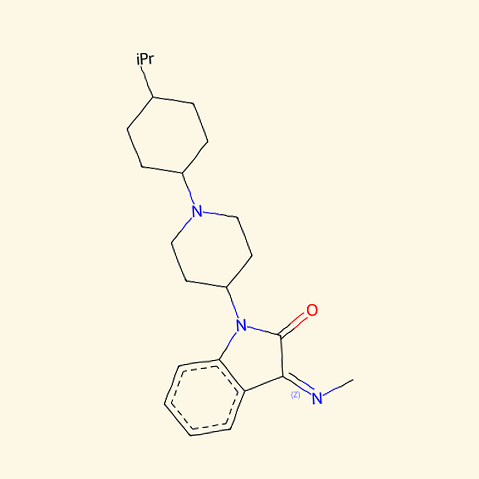 C/N=C1\C(=O)N(C2CCN(C3CCC(C(C)C)CC3)CC2)c2ccccc21